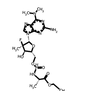 CCOC(=O)[C@H](C)N[PH](=O)OC[C@H]1O[C@@H](n2cnc3c(N(C)C)nc(N)nc32)[C@](C)(F)[C@@H]1O